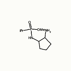 COP(=O)(NC1CCCC1N)C(C)C